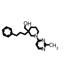 Cc1nccc(N2CCCC(CO)(CCCc3ccccc3)C2)n1